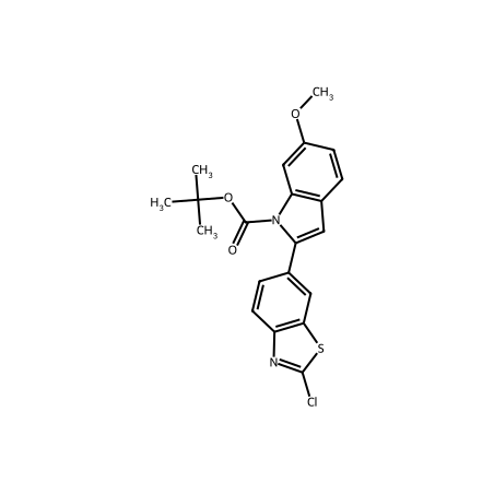 COc1ccc2cc(-c3ccc4nc(Cl)sc4c3)n(C(=O)OC(C)(C)C)c2c1